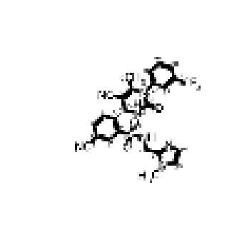 CC1=C(C#N)[C@@H](c2ccc(C#N)cc2S(=O)(=O)NCc2nccn2C)NC(=O)N1c1cccc(C(F)(F)F)c1